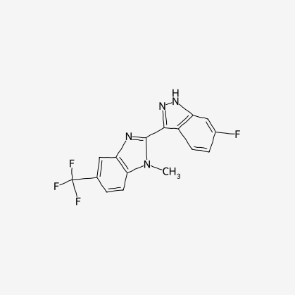 Cn1c(-c2n[nH]c3cc(F)ccc23)nc2cc(C(F)(F)F)ccc21